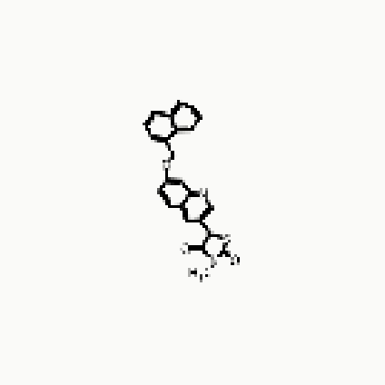 CN1C(=O)SC(c2cnc3cc(OCc4cccc5ccccc45)ccc3c2)C1=O